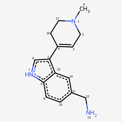 CN1CC=C(c2c[nH]c3ccc(CN)cc23)CC1